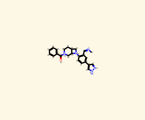 C/N=C\c1cc(-c2cn[nH]c2)ccc1N1CC2CCN(C(=O)c3ccccc3)CC21